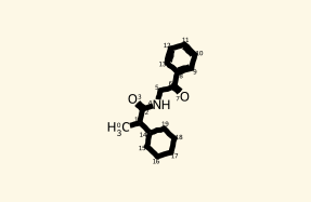 CC(C(=O)NCC(=O)c1ccccc1)C1CCCCC1